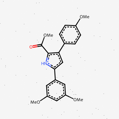 COC(=O)c1[nH]c(-c2cc(OC)cc(OC)c2)cc1-c1ccc(OC)cc1